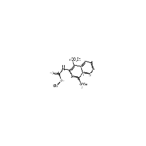 CCOC(=O)c1c(NC(=O)OC(C)(C)C)cc(OC)c2ccccc12